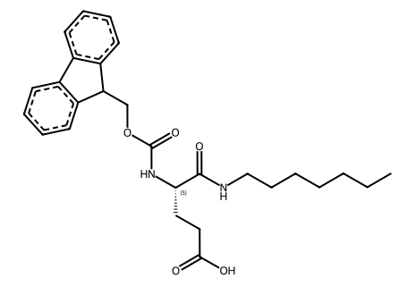 CCCCCCCNC(=O)[C@H](CCC(=O)O)NC(=O)OCC1c2ccccc2-c2ccccc21